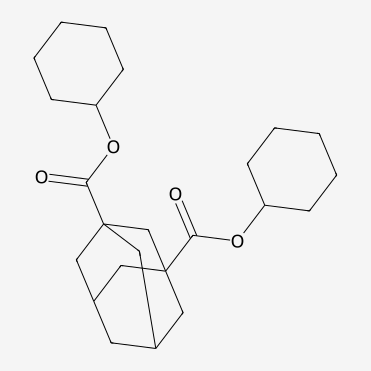 O=C(OC1CCCCC1)C12CC3CC(C1)CC(C(=O)OC1CCCCC1)(C3)C2